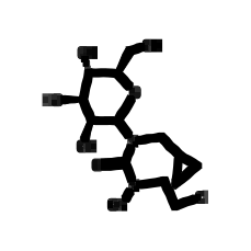 O=NN(CCCl)C(=O)N(CC1CC1)C1O[C@H](CO)[C@@H](O)[C@H](O)[C@@H]1O